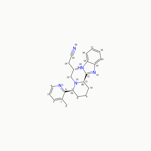 Cc1cccnc1[C@@H]1CCC[C@H](c2nc3ccccc3[nH]2)N1CCCC#N